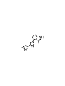 Cc1c[nH]c2cccc(-n3cnc(-c4cnn(C)c4)c3)c12